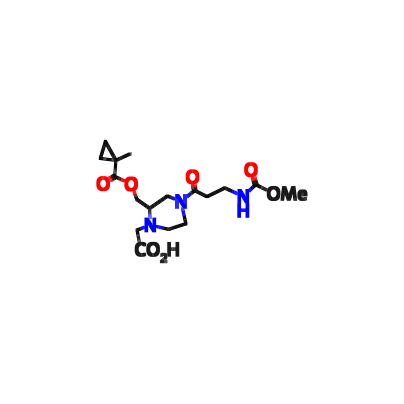 COC(=O)NCCC(=O)N1CCN(CC(=O)O)C(COC(=O)C2(C)CC2)C1